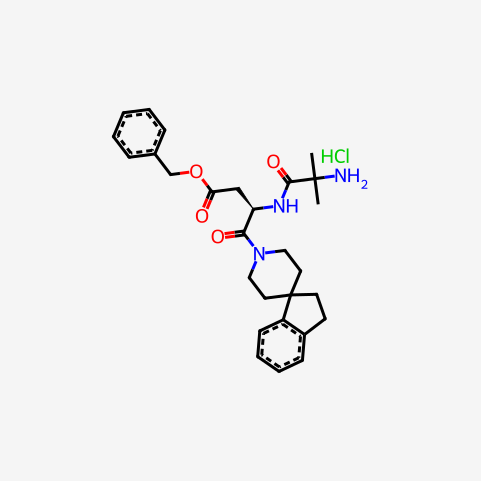 CC(C)(N)C(=O)N[C@H](CC(=O)OCc1ccccc1)C(=O)N1CCC2(CCc3ccccc32)CC1.Cl